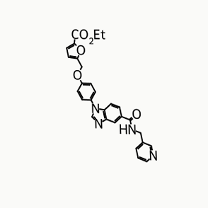 CCOC(=O)c1ccc(COc2ccc(-n3cnc4cc(C(=O)NCc5cccnc5)ccc43)cc2)o1